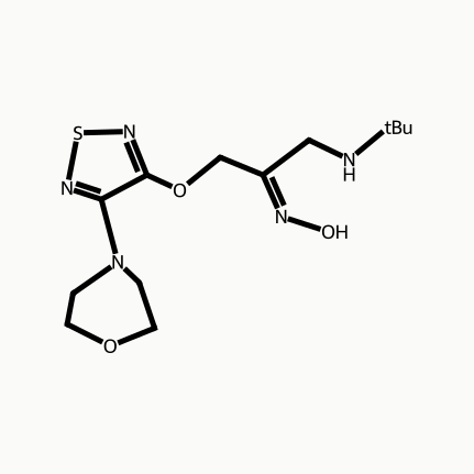 CC(C)(C)NCC(COc1nsnc1N1CCOCC1)=NO